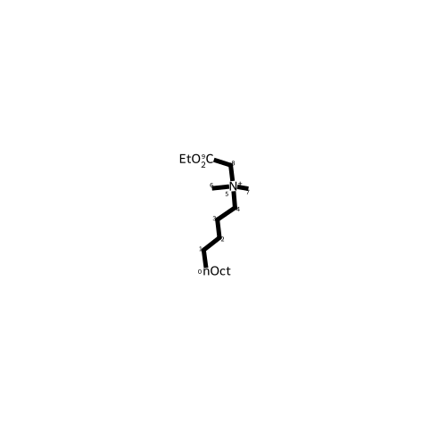 CCCCCCCCCCCC[N+](C)(C)CC(=O)OCC